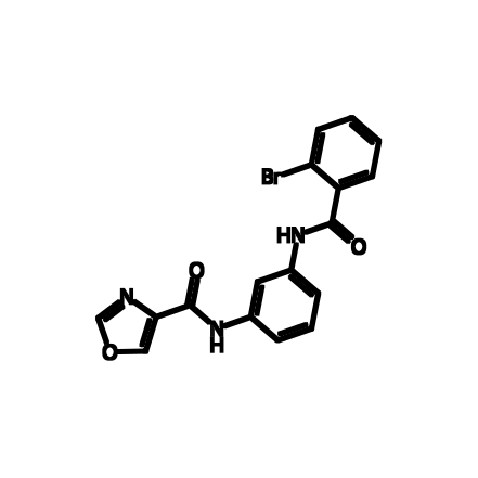 O=C(Nc1cccc(NC(=O)c2ccccc2Br)c1)c1cocn1